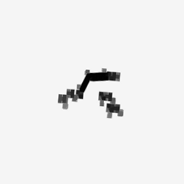 I.N.N.N=CN